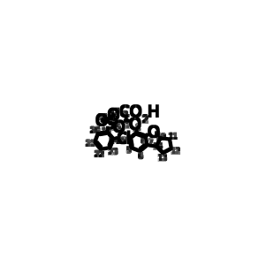 O=C(O)C(Oc1cccc2c1OC1CCCC21)OS(=O)(=O)c1ccccc1Cl